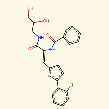 O=C(NCC(O)CO)/C(=C/c1ccc(-c2ccccc2Cl)s1)NC(=O)c1ccccc1